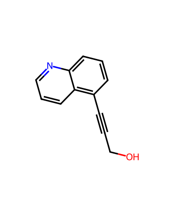 OCC#Cc1cccc2ncccc12